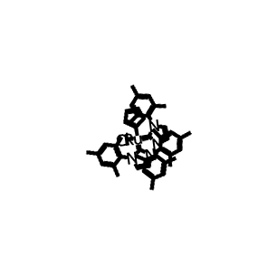 Cc1cc(C)c(-n2ccn(-c3c(C)cc(C)cc3C)[c]2=[Ru]([Cl])([C]2=CC=CC2)=[c]2n(-c3c(C)cc(C)cc3C)ccn2-c2c(C)cc(C)cc2C)c(C)c1